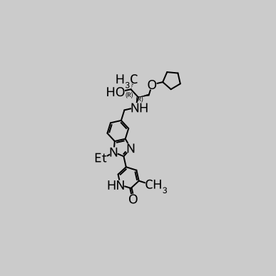 CCn1c(-c2c[nH]c(=O)c(C)c2)nc2cc(CN[C@H](COC3CCCC3)[C@@H](C)O)ccc21